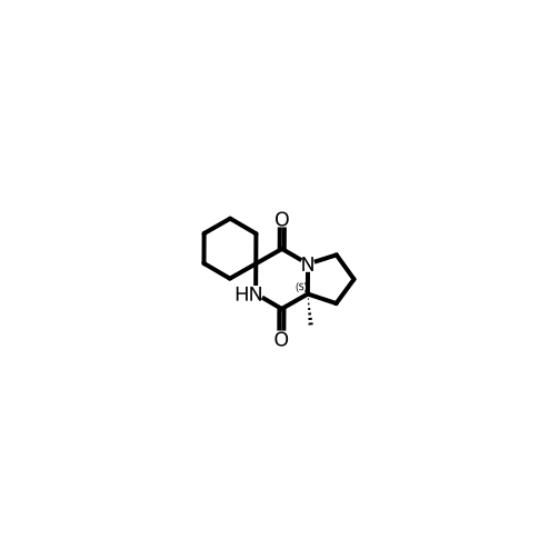 C[C@@]12CCCN1C(=O)C1(CCCCC1)NC2=O